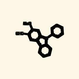 COc1cc2c(cc1C=O)c1ccccc1n2-c1ccccc1